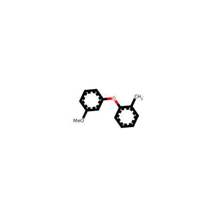 [CH2]c1ccccc1Oc1cccc(OC)c1